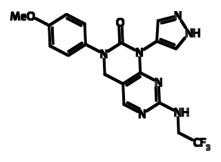 COc1ccc(N2Cc3cnc(NCC(F)(F)F)nc3N(c3cn[nH]c3)C2=O)cc1